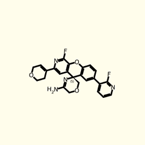 NC1=N[C@@]2(COC1)c1cc(-c3cccnc3F)ccc1Oc1c2cc(C2=CCOCC2)nc1F